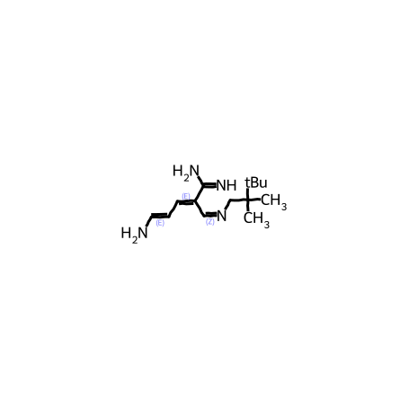 CC(C)(C)C(C)(C)C\N=C/C(=C\C=C\N)C(=N)N